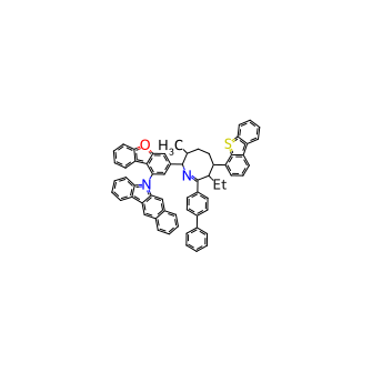 CCC1/C(c2ccc(-c3ccccc3)cc2)=N\C(c2cc(-n3c4ccccc4c4cc5ccccc5cc43)c3c(c2)oc2ccccc23)C(C)CCC1c1cccc2c1sc1ccccc12